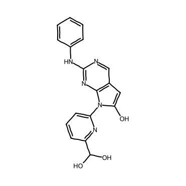 Oc1cc2cnc(Nc3ccccc3)nc2n1-c1cccc(C(O)O)n1